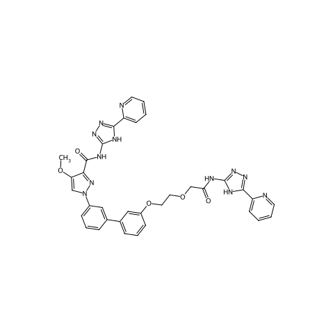 COc1cn(-c2cccc(-c3cccc(OCCOCC(=O)Nc4nnc(-c5ccccn5)[nH]4)c3)c2)nc1C(=O)Nc1nnc(-c2ccccn2)[nH]1